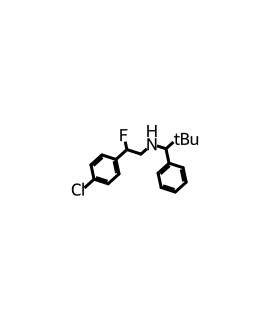 CC(C)(C)C(NCC(F)c1ccc(Cl)cc1)c1ccccc1